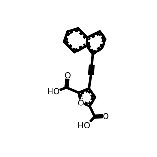 O=C(O)c1cc(C#Cc2cccc3ccccc23)c(C(=O)O)o1